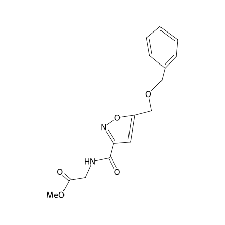 COC(=O)CNC(=O)c1cc(COCc2ccccc2)on1